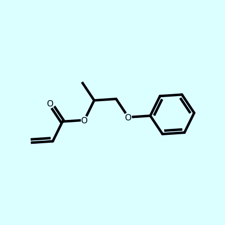 C=CC(=O)OC(C)COc1ccccc1